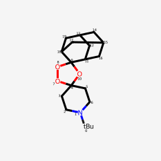 CC(C)(C)N1CCC2(CC1)OOC1(O2)C2CC3CC(C2)CC1C3